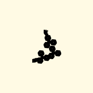 [C]=O.[H-].[H-].[H-].[Rh+3].c1cc[c]([Sb]([c]2ccccc2)[c]2ccccc2)cc1.c1cc[c]([Sb]([c]2ccccc2)[c]2ccccc2)cc1.c1ccc([As](c2ccccc2)c2ccccc2)cc1